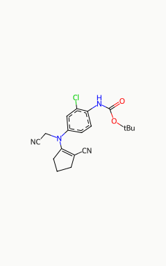 CC(C)(C)OC(=O)Nc1ccc(N(CC#N)C2=C(C#N)CCC2)cc1Cl